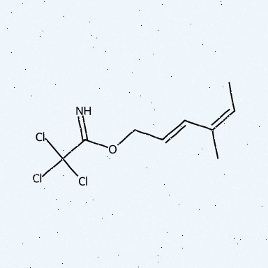 CC=C(C)C=CCOC(=N)C(Cl)(Cl)Cl